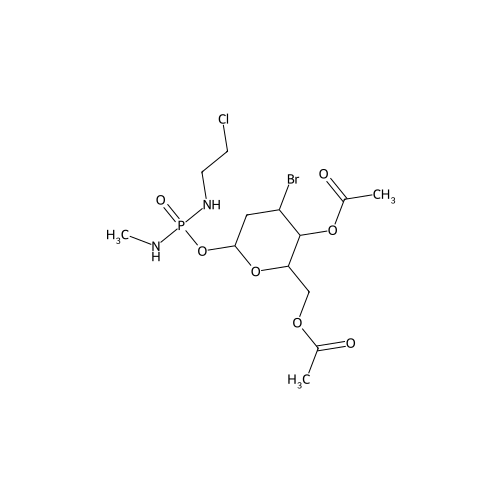 CNP(=O)(NCCCl)OC1CC(Br)C(OC(C)=O)C(COC(C)=O)O1